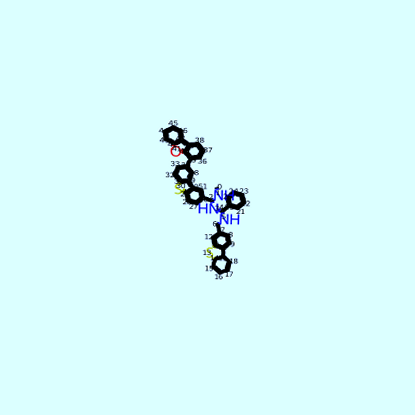 CNC(NC(NCc1ccc2c(c1)SC1C=CC=CC21)c1ccccc1)c1ccc2sc3ccc(-c4cccc5c4oc4ccccc45)cc3c2c1